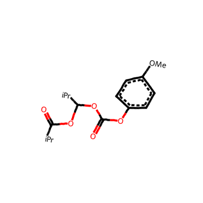 COc1ccc(OC(=O)OC(OC(=O)C(C)C)C(C)C)cc1